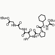 CCCC(NC(=O)[C@@H]1CCCN1C(=O)[C@@H](NC(=O)OCC(C)C)C1CCCCC1)C(=O)C(=O)NCC(=O)NCC(=O)OC(C)(C)C